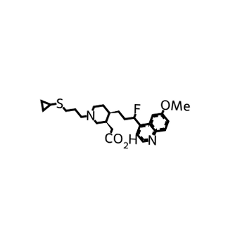 COc1ccc2nccc(C(F)CC[C@@H]3CCN(CCCSC4CC4)C[C@@H]3CC(=O)O)c2c1